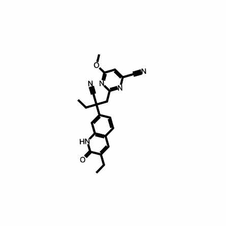 CCc1cc2ccc(C(C#N)(CC)Cc3nc(C#N)cc(OC)n3)cc2[nH]c1=O